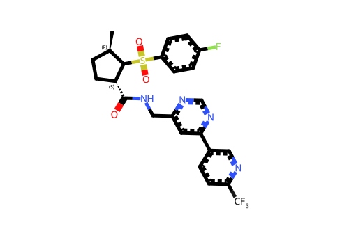 C[C@@H]1CC[C@@H](C(=O)NCc2cc(-c3ccc(C(F)(F)F)nc3)ncn2)C1S(=O)(=O)c1ccc(F)cc1